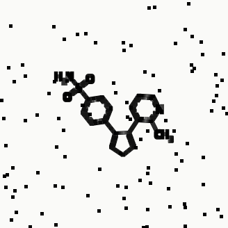 Cc1ncccc1C1=CCC=C1c1ccc(S(N)(=O)=O)cc1